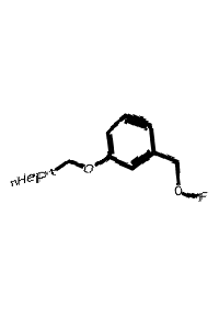 CCCCCCCCOc1cccc(COF)c1